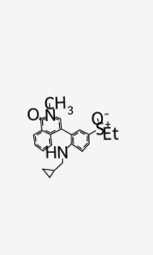 CC[S+]([O-])c1ccc(NCC2CC2)c(-c2cn(C)c(=O)c3ccccc23)c1